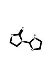 O=C1OCCN1C1NCCO1